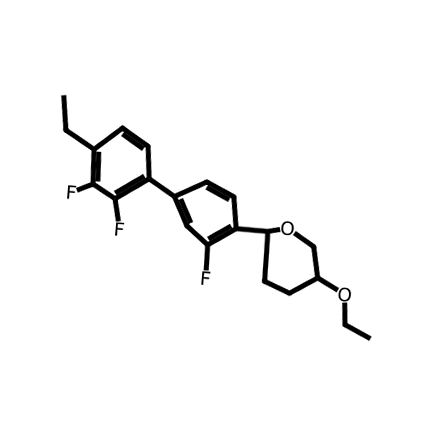 CCOC1CCC(c2ccc(-c3ccc(CC)c(F)c3F)cc2F)OC1